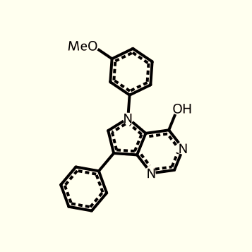 COc1cccc(-n2cc(-c3ccccc3)c3ncnc(O)c32)c1